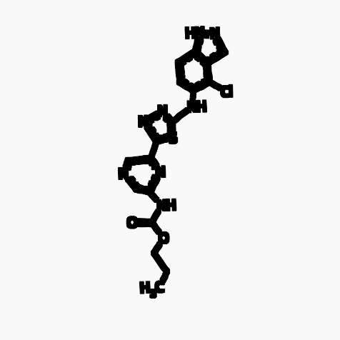 CCCOC(=O)Nc1cncc(-c2nnc(Nc3ccc4[nH]ncc4c3Cl)s2)n1